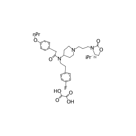 CCCOc1ccc(CC(=O)N(CCc2ccc(F)cc2)C2CCN(CCCN3C(=O)OC[C@@H]3C(C)C)CC2)cc1.O=C(O)C(=O)O